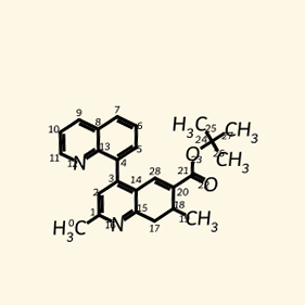 Cc1cc(-c2cccc3cccnc23)c2c(n1)CC(C)C(C(=O)OC(C)(C)C)=C2